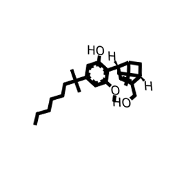 CCCCCCC(C)(C)c1cc(O)c([C@H]2C=C(CO)[C@H]3CC2C3(C)C)c(OC)c1